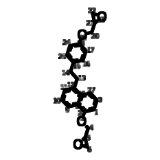 c1cc(OCC2CO2)c2cccc(CCc3ccc(OCC4CO4)cc3)c2c1